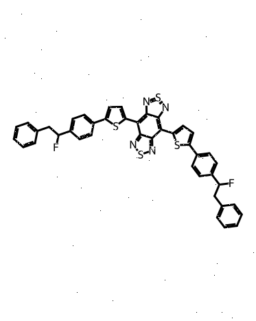 FC(Cc1ccccc1)c1ccc(-c2ccc(-c3c4c(c(-c5ccc(-c6ccc(C(F)Cc7ccccc7)cc6)s5)c5nsnc35)N=S=N4)s2)cc1